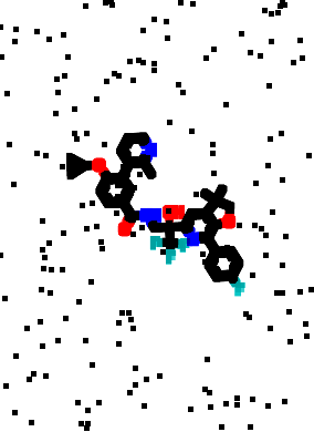 Cc1ncccc1-c1cc(C(=O)NC[C@](O)(c2cc3c(c(-c4ccc(F)cc4)n2)OCC3(C)C)C(F)(F)F)ccc1OC1CC1